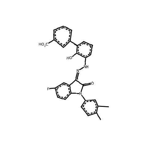 Cc1ccc(N2C(=O)/C(=N\Nc3cccc(-c4cccc(C(=O)O)c4)c3O)c3cc(F)ccc32)cc1C